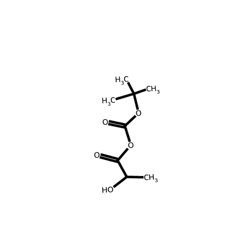 CC(O)C(=O)OC(=O)OC(C)(C)C